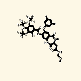 [2H]C([2H])([2H])Oc1cc(C(=O)Nc2cc3c(cc2Oc2cc(C)cc(C)c2)C(=O)N(C)C(CC(=O)NCOC)C(=O)N3)c(Cl)c(OC([2H])([2H])[2H])c1OC([2H])([2H])[2H]